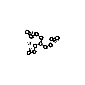 N#Cc1cc(-c2cc(-c3cccc(-c4cccc(-c5cccc6c5oc5ccccc56)c4)c3)cc(-c3cccc(-c4cccc(-c5cccc6c5oc5ccccc56)c4)c3)c2)cc(-c2cccc3c2oc2ccccc23)c1